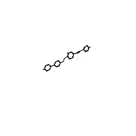 CCCOc1ccc(C#Cc2cc(F)c(CCc3ccc(-c4ccc(C)cc4)cc3)cc2OC)cc1